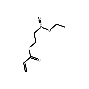 C=CC(=O)OCC[PH](=O)OCC